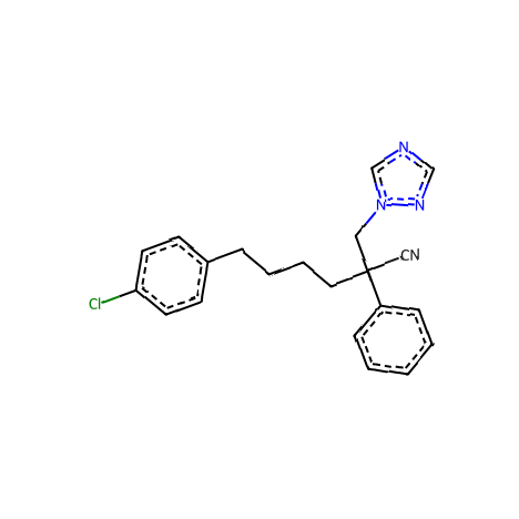 N#CC(CCCCc1ccc(Cl)cc1)(Cn1cncn1)c1ccccc1